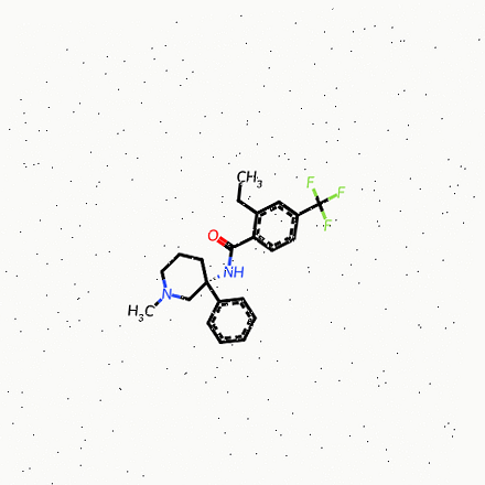 CCc1cc(C(F)(F)F)ccc1C(=O)N[C@@]1(c2ccccc2)CCCN(C)C1